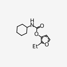 CCc1occc1OC(=O)NC1CCCCC1